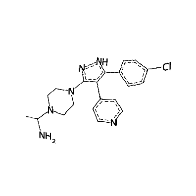 CC(N)N1CCN(c2n[nH]c(-c3ccc(Cl)cc3)c2-c2ccncc2)CC1